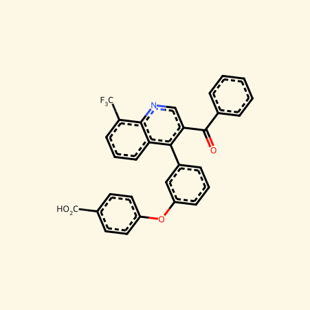 O=C(O)c1ccc(Oc2cccc(-c3c(C(=O)c4ccccc4)cnc4c(C(F)(F)F)cccc34)c2)cc1